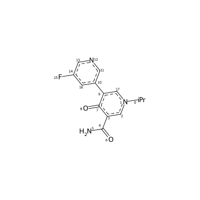 CC(C)n1cc(C(N)=O)c(=O)c(-c2cncc(F)c2)c1